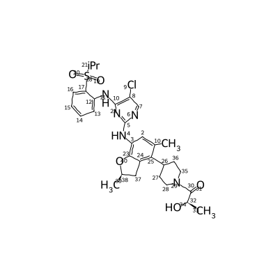 Cc1cc(Nc2ncc(Cl)c(Nc3ccccc3S(=O)(=O)C(C)C)n2)c2c(c1C1CCN(C(=O)[C@@H](C)O)CC1)C[C@@H](C)O2